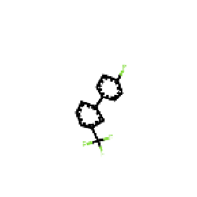 Fc1ccc(-c2cc[c]c(C(F)(F)F)c2)cc1